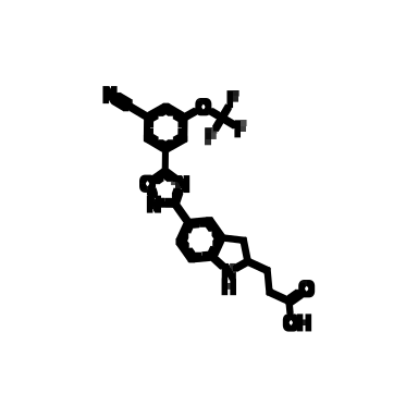 N#Cc1cc(OC(F)(F)F)cc(-c2nc(-c3ccc4c(c3)CC(CCC(=O)O)N4)no2)c1